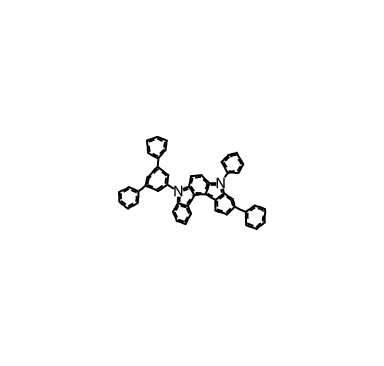 c1ccc(-c2cc(-c3ccccc3)cc(-n3c4ccccc4c4c5c6ccc(-c7ccccc7)cc6n(-c6ccccc6)c5ccc43)c2)cc1